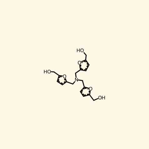 OCc1ccc(CN(Cc2ccc(CO)o2)Cc2ccc(CO)o2)o1